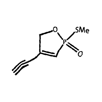 C#CC1=CP(=O)(SC)OC1